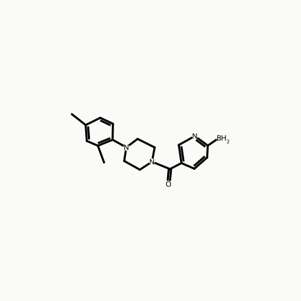 Bc1ccc(C(=O)N2CCN(c3ccc(C)cc3C)CC2)cn1